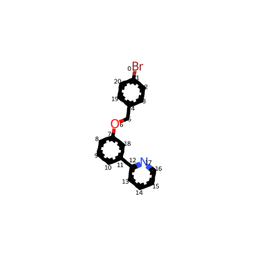 Brc1ccc(COc2cccc(-c3ccccn3)c2)cc1